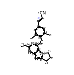 Cc1cc(/C=C/C#N)cc(C)c1Oc1nc(Cl)nc2nc3n(c12)CCC3